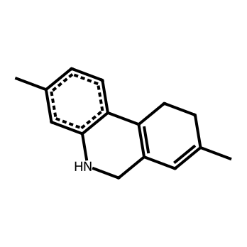 CC1=CC2=C(CC1)c1ccc(C)cc1NC2